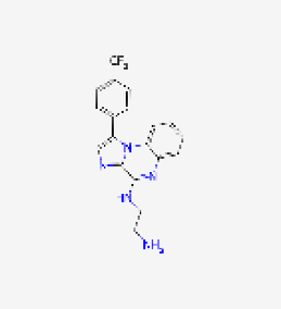 NCCNc1nc2ccccc2n2c(-c3ccc(C(F)(F)F)cc3)cnc12